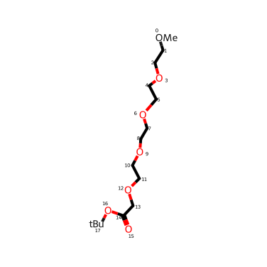 COCCOCCOCCOCCOCC(=O)OC(C)(C)C